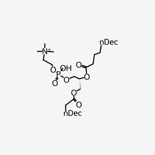 CCCCCCCCCCCCCC(=O)O[C@H](COC(=O)CCCCCCCCCCC)COP(=O)(O)OCC[N+](C)(C)C